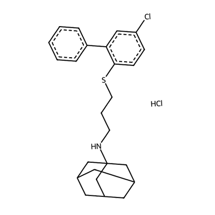 Cl.Clc1ccc(SCCCNC23CC4CC(CC(C4)C2)C3)c(-c2ccccc2)c1